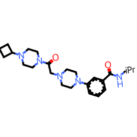 CC(C)NC(=O)c1cccc(N2CCN(CC(=O)N3CCN(C4CCC4)CC3)CC2)c1